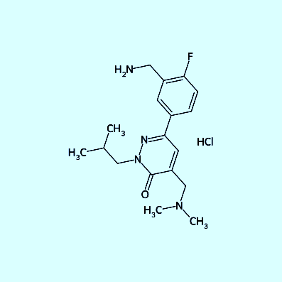 CC(C)Cn1nc(-c2ccc(F)c(CN)c2)cc(CN(C)C)c1=O.Cl